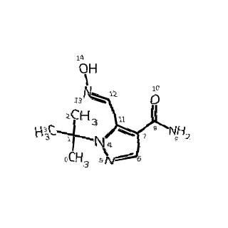 CC(C)(C)n1ncc(C(N)=O)c1C=NO